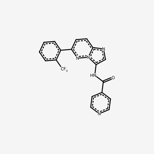 O=C(Nc1cnc2ccc(-c3ccccc3C(F)(F)F)nn12)c1ccncc1